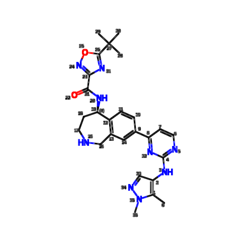 Cc1c(Nc2nccc(-c3ccc4c(c3)CNCC[C@H]4NC(=O)c3noc(C(C)(C)C)n3)n2)cnn1C